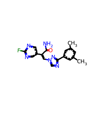 Cc1cc(C)cc(-c2ncn(C=C(C(N)=O)c3cnc(F)nc3)n2)c1